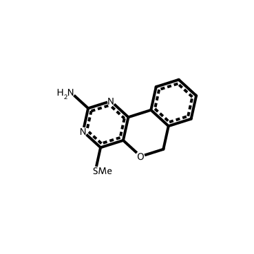 CSc1nc(N)nc2c1OCc1ccccc1-2